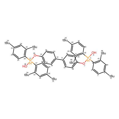 CC(C)(C)c1ccc([PH](O)(Oc2ccc(-c3ccc(O[PH](O)(c4ccc(C(C)(C)C)cc4C(C)(C)C)c4ccc(C(C)(C)C)cc4C(C)(C)C)cc3)cc2)c2ccc(C(C)(C)C)cc2C(C)(C)C)c(C(C)(C)C)c1